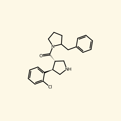 O=C([C@@H]1CNC[C@H]1c1ccccc1Cl)N1CCCC1Cc1ccccc1